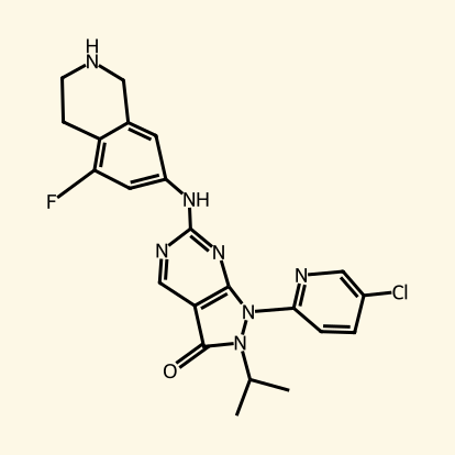 CC(C)n1c(=O)c2cnc(Nc3cc(F)c4c(c3)CNCC4)nc2n1-c1ccc(Cl)cn1